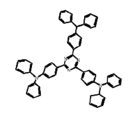 C1=CCC(N(c2ccccc2)c2ccc(-c3nc(-c4ccc(C(c5ccccc5)c5ccccc5)cc4)nc(-c4ccc(N(c5ccccc5)c5ccccc5)cc4)n3)cc2)C=C1